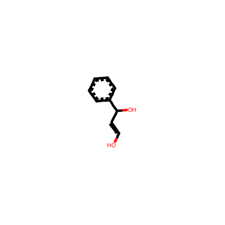 OC=CC(O)c1ccccc1